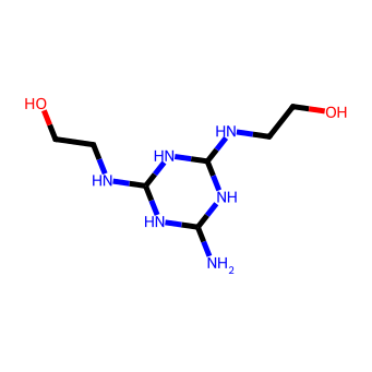 NC1NC(NCCO)NC(NCCO)N1